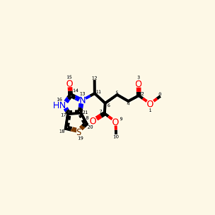 COC(=O)CCC(C(=O)OC)C(C)n1c(=O)[nH]c2cscc21